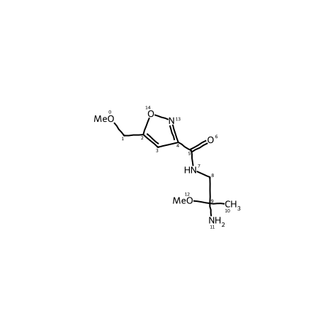 COCc1cc(C(=O)NCC(C)(N)OC)no1